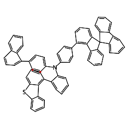 c1ccc(N(c2ccc(-c3cccc4c3-c3ccccc3C43c4ccccc4-c4ccccc43)cc2)c2ccc(-c3cccc4ccccc34)cc2)c(-c2cccc3sc4ccccc4c23)c1